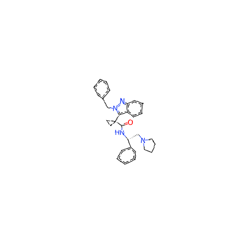 O=C(N[C@H](CN1CCCC1)c1ccccc1)C1(c2c3ccccc3nn2Cc2ccccc2)CC1